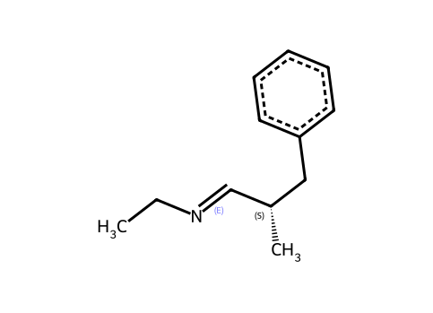 CC/N=C/[C@@H](C)Cc1ccccc1